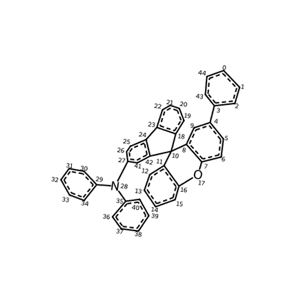 c1ccc(-c2ccc3c(c2)C2(c4ccccc4O3)c3ccccc3-c3ccc(N(c4ccccc4)c4ccccc4)cc32)cc1